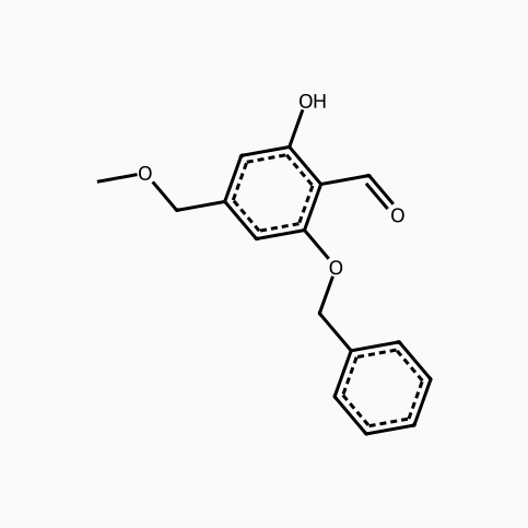 COCc1cc(O)c(C=O)c(OCc2ccccc2)c1